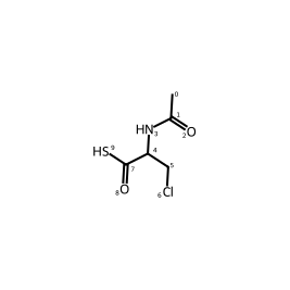 CC(=O)NC(CCl)C(=O)S